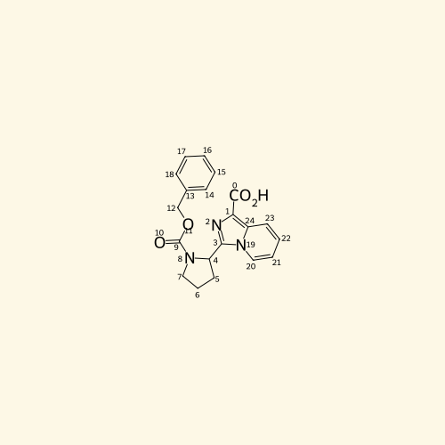 O=C(O)c1nc(C2CCCN2C(=O)OCc2ccccc2)n2ccccc12